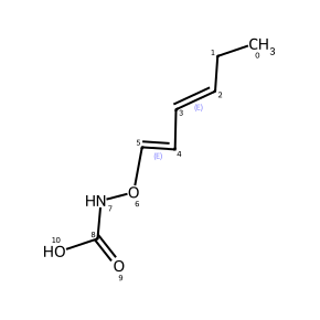 CC/C=C/C=C/ONC(=O)O